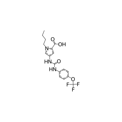 CCCCn1cc(NC(=O)Nc2ccc(OC(F)(F)F)cc2)cc1C(=O)O